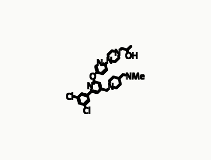 CNCC1CCN(Cc2cc(Oc3ccc(N4CCN(CC(C)O)CC4)nc3)nc(-c3cc(Cl)cc(Cl)c3)c2)CC1